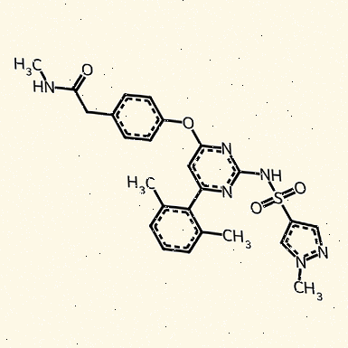 CNC(=O)Cc1ccc(Oc2cc(-c3c(C)cccc3C)nc(NS(=O)(=O)c3cnn(C)c3)n2)cc1